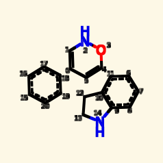 C1=CNOC=C1.c1ccc2c(c1)CCN2.c1ccccc1